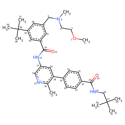 COCCN(C)Cc1cc(C(=O)Nc2cnc(C)c(-c3ccc(C(=O)NCC(C)(C)C)cc3)c2)cc(C(C)(C)C)c1